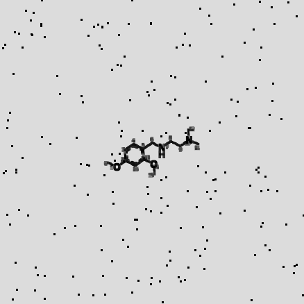 COc1ccc(CNCCN(C)C)c(OC)c1